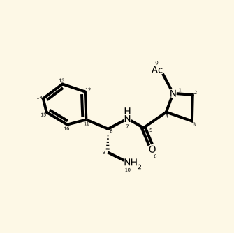 CC(=O)N1CCC1C(=O)N[C@H](CN)c1ccccc1